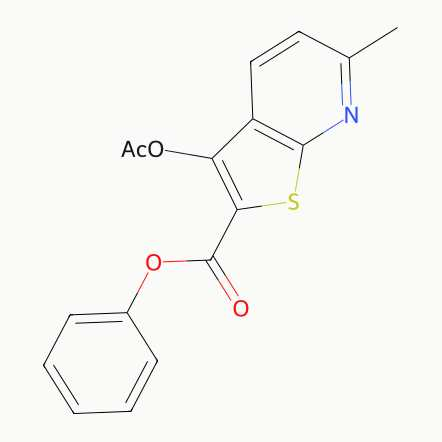 CC(=O)Oc1c(C(=O)Oc2ccccc2)sc2nc(C)ccc12